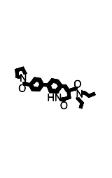 CCCN(CCC)C(=O)C1=Cc2ccc(-c3ccc(C(=O)N4CCCC4)cc3)cc2NC(=O)C1